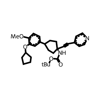 COc1ccc(C2CCC(C#Cc3ccncc3)(NC(=O)OC(C)(C)C)CC2)cc1OC1CCCC1